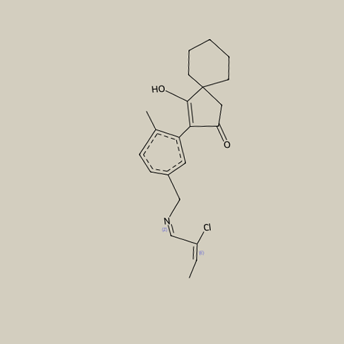 C/C=C(Cl)\C=N/Cc1ccc(C)c(C2=C(O)C3(CCCCC3)CC2=O)c1